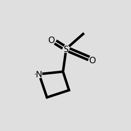 CS(=O)(=O)C1CC[N]1